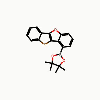 CC1(C)OB(c2cccc3oc4c5ccccc5sc4c23)OC1(C)C